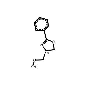 COC[C@@H]1COC(c2ccccc2)=N1